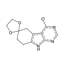 Clc1ncnc2[nH]c3c(c12)CC1(CC3)OCCO1